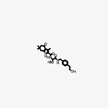 CCCCC(NC(=O)c1[nH]c2c(c1C)C(=O)CC(C)(C)C2)C(=O)NCc1ccc(CCO)cc1